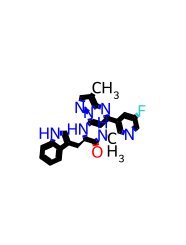 CNC(=O)[C@@H](Cc1c[nH]c2ccccc12)Nc1cc(-c2cncc(F)c2)nc2c(C)cnn12